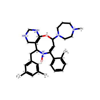 CC(=O)N1CCCN(C2/C=C(/c3ccccc3C)[NH+]([O-])C(Cc3cc(C(F)(F)F)cc(C(F)(F)F)c3)C3=C(NCNC3)O2)CC1